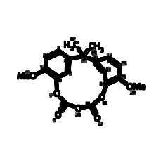 COc1ccc2cc1OC(=O)OC(=O)Oc1cc(ccc1OC)C2(C)C